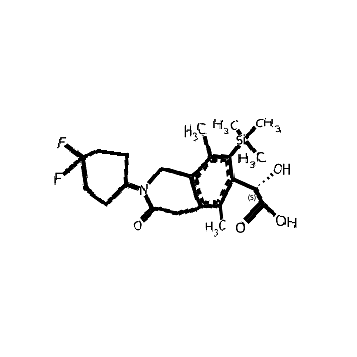 Cc1c2c(c(C)c([Si](C)(C)C)c1[C@H](O)C(=O)O)CN(C1CCC(F)(F)CC1)C(=O)C2